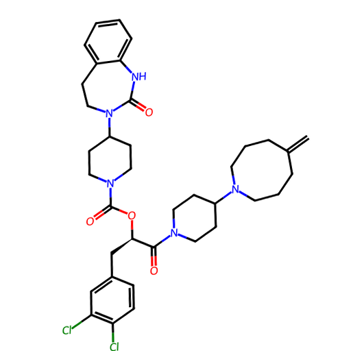 C=C1CCCN(C2CCN(C(=O)[C@@H](Cc3ccc(Cl)c(Cl)c3)OC(=O)N3CCC(N4CCc5ccccc5NC4=O)CC3)CC2)CCC1